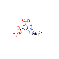 O.O=C([O-])c1cccc(C(=O)[O-])c1.[Mg+2].c1cn[nH]c1